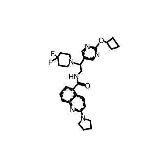 O=C(NCC(c1cnc(OC2CCC2)nc1)N1CCC(F)(F)CC1)c1cccc2nc(N3CCCC3)ccc12